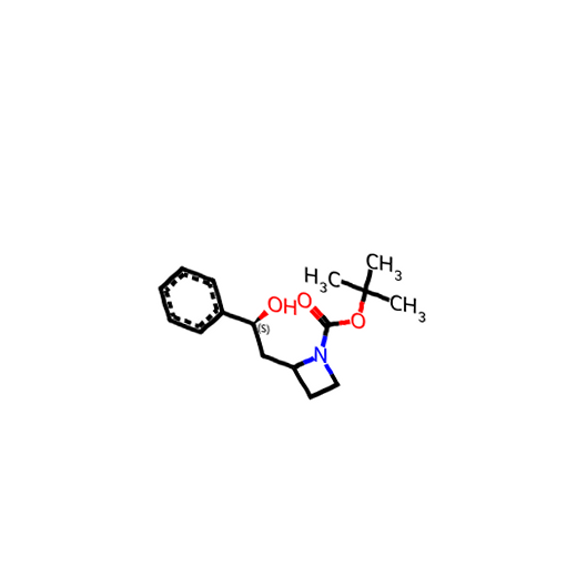 CC(C)(C)OC(=O)N1CCC1C[C@H](O)c1ccccc1